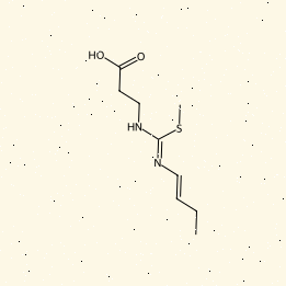 CC/C=C/N=C(/NCCC(=O)O)SC